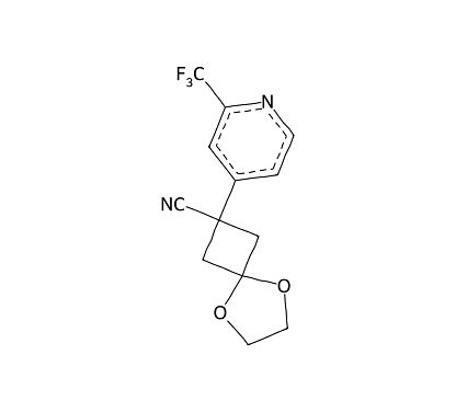 N#CC1(c2ccnc(C(F)(F)F)c2)CC2(C1)OCCO2